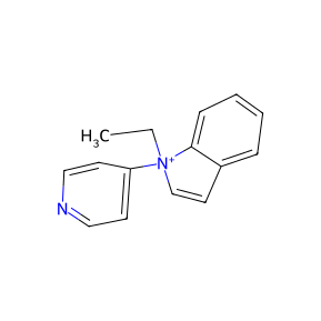 CC[N+]1(c2ccncc2)C=Cc2ccccc21